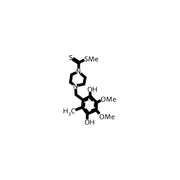 COc1c(O)c(C)c(CN2CCN(C(=S)SC)CC2)c(O)c1OC